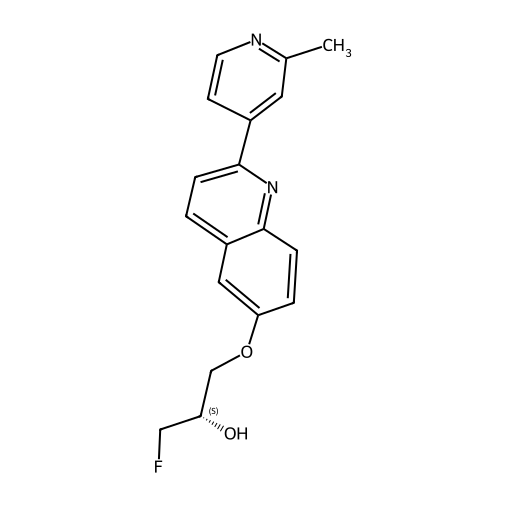 Cc1cc(-c2ccc3cc(OC[C@H](O)CF)ccc3n2)ccn1